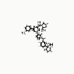 N#Cc1cccc(-c2cc(-c3cn(Cc4cccc(C5(O)CCCC5)n4)nn3)nc(N[C@@H]3CCC[C@H]3O)n2)c1